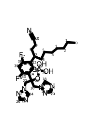 CCCCCCCC(CCC#N)c1cc(C(Cn2cncn2)(Cn2cncn2)OP(=O)(O)O)c(F)cc1F